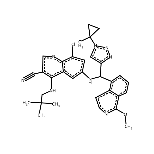 COc1nccc2c(C(Nc3cc(Cl)c4ncc(C#N)c(NCC(C)(C)C)c4c3)c3cn(C4(C)CC4)nn3)cccc12